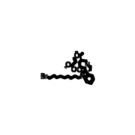 CC[C@H]1CN2CC[C@]3(C(=O)N(CCCCCCCCCBr)c4ccccc43)C2C[C@@H]1/C(=C\OC)C(=O)OC